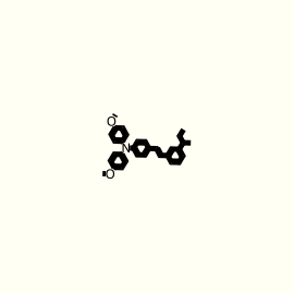 CCC(C)c1cccc(C=Cc2ccc(N(c3ccc(OC)cc3)c3ccc(OC)cc3)cc2)c1